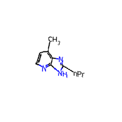 CCCc1nc2c(C)ccnc2[nH]1